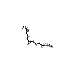 CCOCCCN(C)CCCCNC